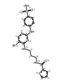 NS(=O)(=O)c1ccc(Nc2ncc(Br)c(NCCCNC(=O)c3cccs3)n2)cc1